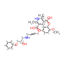 COc1ccc(OCC#CCNC[C@H](O)COc2ccccc2)c(C2C(C(=O)O)=C(C)NC(C)=C2C(=O)O)c1